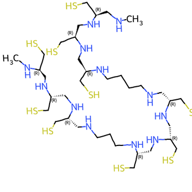 CNC[C@H](CS)NC[C@H](CS)NC[C@H](CS)NCCCCNC[C@H](CS)NC[C@H](CS)NC[C@H](CS)NCCCNC[C@H](CS)NC[C@H](CS)NC[C@H](CS)NC